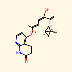 C=C(/C(O)=C\C=C(/C)Oc1ccnc2c1CCC(=O)N2)[C@@H]1[C@@H]2C[C@@]12C(=O)OCC